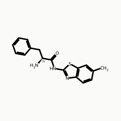 Cc1ccc2nc(NC(=O)[C@@H](N)Cc3ccccc3)sc2c1